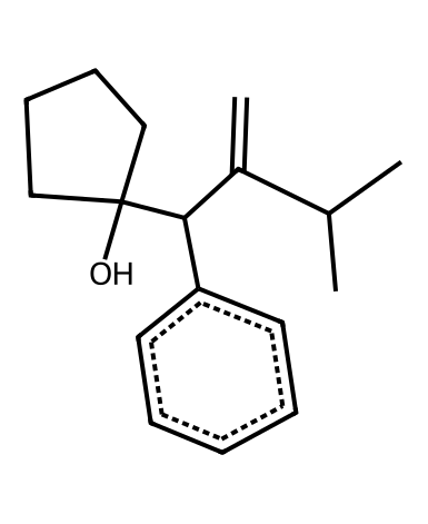 C=C(C(C)C)C(c1ccccc1)C1(O)CCCC1